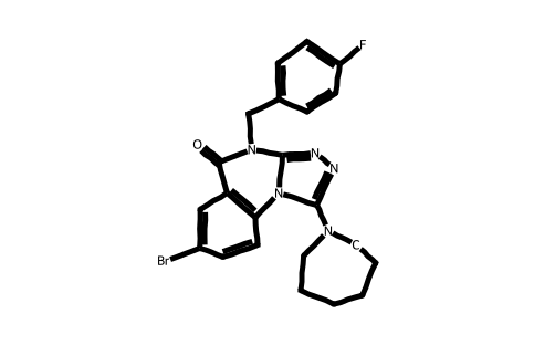 O=c1c2cc(Br)ccc2n2c(N3CCCCCC3)nnc2n1Cc1ccc(F)cc1